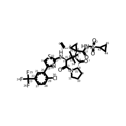 C=C[C@@H]1C[C@]1(NC(=O)[C@@H]1CCCN1C(=O)[C@@H](Nc1nc(-c2cc(C(F)(F)F)ccc2Cl)cs1)C(C)(C)C)C(=O)NS(=O)(=O)C1CC1